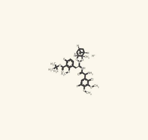 COc1c(F)cc(C(N)C(=O)N[C@@H](Cc2ccc(F)c(C(=O)OC(C)(C)C)c2OC)B2O[C@@H]3C[C@@H]4C[C@@H](C4(C)C)[C@]3(C)O2)c(Cl)c1OC.[H+]